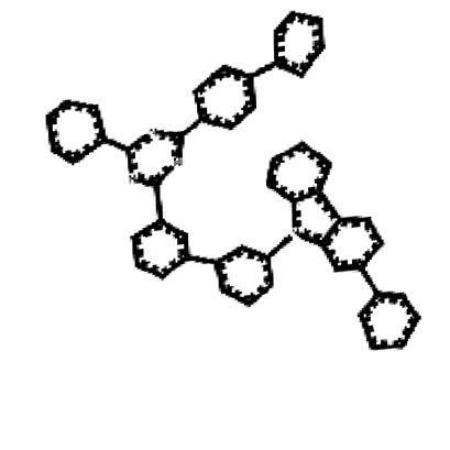 c1ccc(-c2ccc(-c3nc(-c4ccccc4)nc(-c4cccc(-c5cccc(-n6c7ccccc7c7ccc(-c8ccccc8)cc76)c5)c4)n3)cc2)cc1